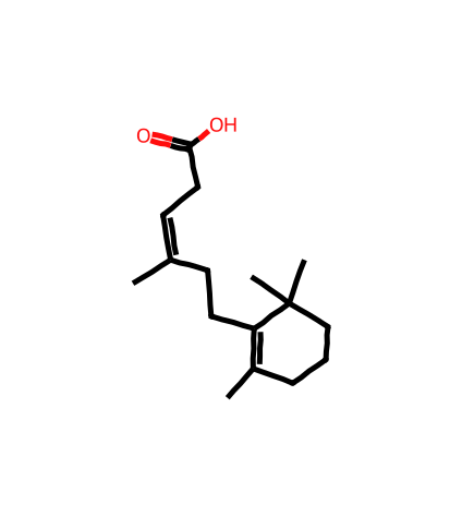 CC1=C(CC/C(C)=C\CC(=O)O)C(C)(C)CCC1